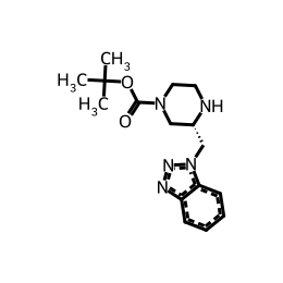 CC(C)(C)OC(=O)N1CCN[C@H](Cn2nnc3ccccc32)C1